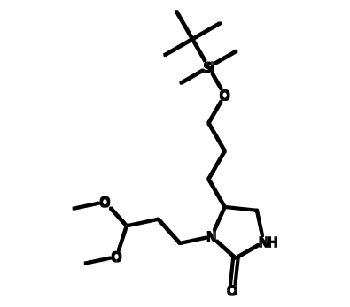 COC(CCN1C(=O)NCC1CCCO[Si](C)(C)C(C)(C)C)OC